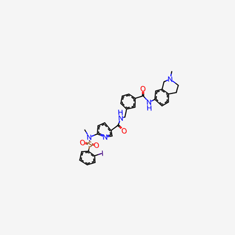 CN1CCc2ccc(NC(=O)c3cccc(CNC(=O)c4ccc(N(C)S(=O)(=O)c5ccccc5I)nc4)c3)cc2C1